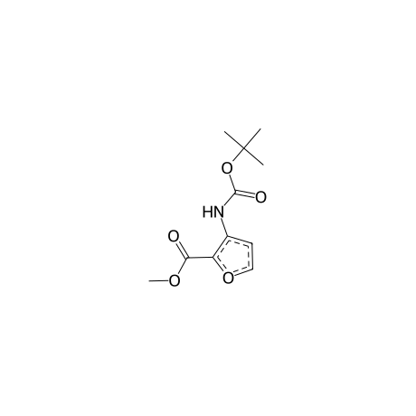 COC(=O)c1occc1NC(=O)OC(C)(C)C